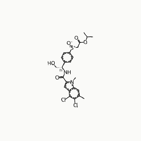 Cc1cc2c(cc(C(=O)N[C@H](CO)c3ccc([S@+]([O-])CC(=O)OC(C)C)cc3)n2C)c(Cl)c1Cl